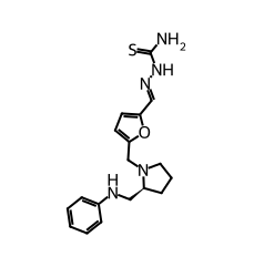 NC(=S)N/N=C/c1ccc(CN2CCC[C@H]2CNc2ccccc2)o1